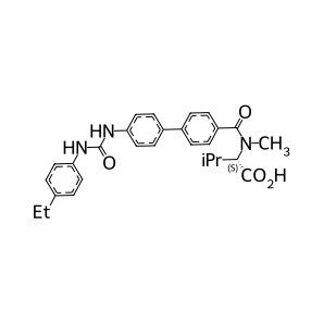 CCc1ccc(NC(=O)Nc2ccc(-c3ccc(C(=O)N(C)[C@H](C(=O)O)C(C)C)cc3)cc2)cc1